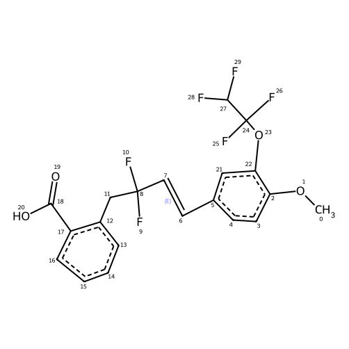 COc1ccc(/C=C/C(F)(F)Cc2ccccc2C(=O)O)cc1OC(F)(F)C(F)F